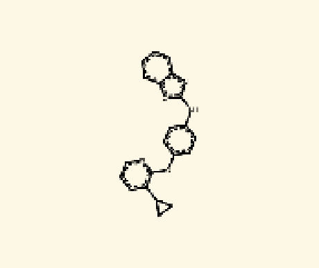 c1cnc(Oc2ccc(Nc3nc4ccccc4o3)cc2)c(C2CC2)c1